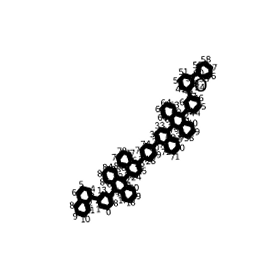 c1cc(-c2cccc3ccccc23)cc(-c2c3ccccc3c(-c3ccc(-c4ccc(-c5ccc(-c6c7ccccc7c(-c7cccc(-c8cccc9c8oc8ccccc89)c7)c7ccccc67)c6ccccc56)cc4)c4ccccc34)c3ccccc23)c1